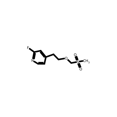 CS(=O)(=O)COCCc1ccnc(F)c1